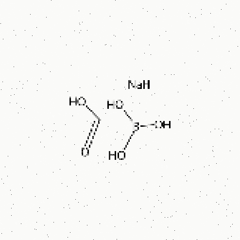 O=CO.OB(O)O.[NaH]